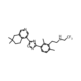 Cc1ccc(-c2noc(-c3cncc4c3CCC(C)(C)C4)n2)c(C)c1CCNCC(F)(F)F